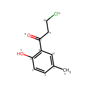 Cc1ccc(O)c(C(=O)CCCl)c1